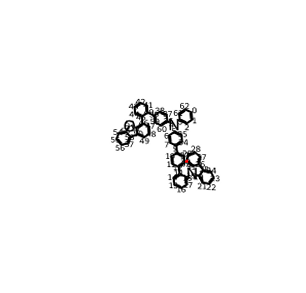 c1ccc(N(c2ccc(-c3ccc(-c4ccccc4-n4c5ccccc5c5ccccc54)cc3)cc2)c2ccc(-c3ccccc3-c3cccc4c3oc3ccccc34)cc2)cc1